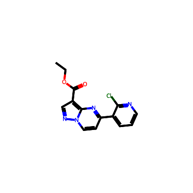 CCOC(=O)c1cnn2ccc(-c3cccnc3Cl)nc12